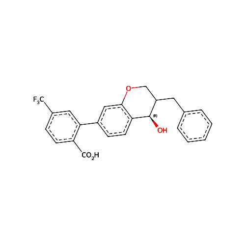 O=C(O)c1ccc(C(F)(F)F)cc1-c1ccc2c(c1)OCC(Cc1ccccc1)[C@H]2O